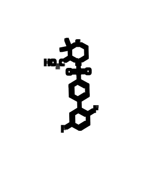 CC1(C)SCCN(S(=O)(=O)c2ccc(-c3cc(F)ccc3F)cc2)C1C(=O)O